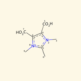 Cc1n(C)c(C(=O)O)c(C(=O)O)[n+]1C